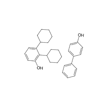 Oc1ccc(-c2ccccc2)cc1.Oc1cccc(C2CCCCC2)c1C1CCCCC1